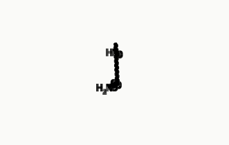 CCCCNC(=O)CCCCCCCCCCCCC(=O)OC(=O)CN